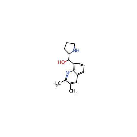 Cc1cc2cccc(C(O)[C@H]3CCCN3)c2nc1C